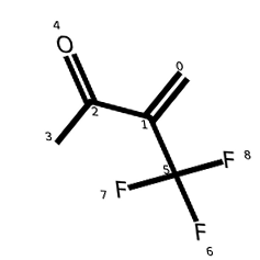 C=C(C(C)=O)C(F)(F)F